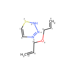 C1=CSNN=N1.C=CCOCC=C